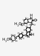 COC1=CC2C(C=C1)NC(=O)[C@@]21CC1c1ccc2c(-c3ccc(N4CCN(C)CC4)nc3)n[nH]c2c1